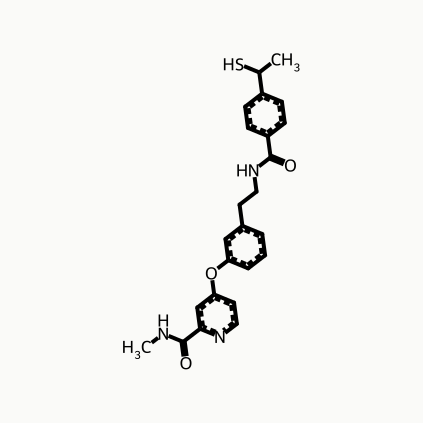 CNC(=O)c1cc(Oc2cccc(CCNC(=O)c3ccc(C(C)S)cc3)c2)ccn1